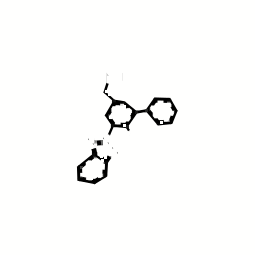 NCc1cc(-c2ccccc2)c(O)c(-n2nc3ccccc3n2)c1